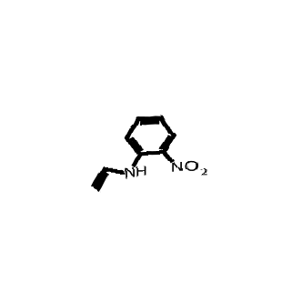 C=CNc1ccccc1[N+](=O)[O-]